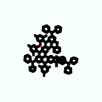 Cc1cc(C)c(N2c3cc4c(cc3B3c5ccccc5Oc5cc(N(c6ccccc6)c6ccccc6)cc2c53)B2c3cc5c(cc3N(c3c(C)cc(C)cc3C)c3cc(N(c6ccccc6)c6ccccc6)cc(c32)N4c2c(C)cc(C)cc2C)Nc2cc(N(c3ccccc3)c3ccccc3)cc3c2B5c2ccccc2O3)c(C)c1